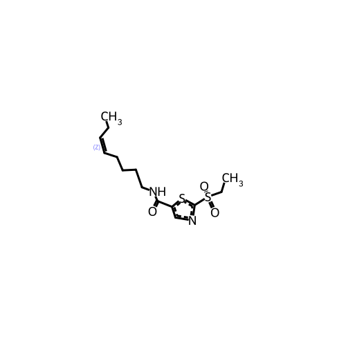 CC/C=C\CCCCNC(=O)c1cnc(S(=O)(=O)CC)s1